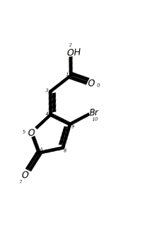 O=C(O)/C=C1/OC(=O)C=C1Br